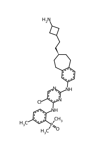 Cc1ccc(Nc2nc(Nc3ccc4c(c3)CC[C@@H](CCC3CC(N)C3)CC4)ncc2Cl)c(P(C)(C)=O)c1